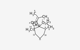 COC1(C(=O)C(C)C)C(C)CCCC1(C)C